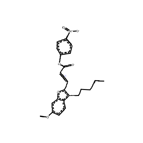 CCCCCc1c(/C=C/C(=O)Oc2ccc([N+](=O)[O-])cc2)oc2cc(OC)ccc12